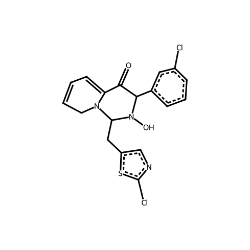 O=C1C2=CC=CCN2C(Cc2cnc(Cl)s2)N(O)C1c1cccc(Cl)c1